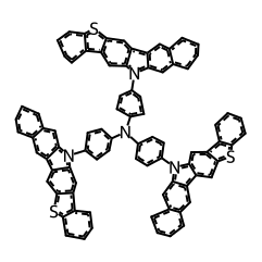 c1ccc2cc3c(cc2c1)c1cc2sc4ccccc4c2cc1n3-c1ccc(N(c2ccc(-n3c4cc5ccccc5cc4c4cc5sc6ccccc6c5cc43)cc2)c2ccc(-n3c4cc5ccccc5cc4c4cc5sc6ccccc6c5cc43)cc2)cc1